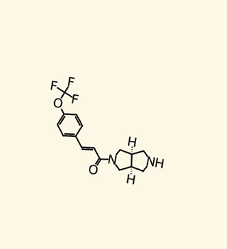 O=C(/C=C/c1ccc(OC(F)(F)F)cc1)N1C[C@H]2CNC[C@H]2C1